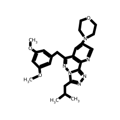 COc1cc(Cc2nn3c(CC(C)C)nnc3c3ncc(N4CCOCC4)cc23)cc(OC)c1